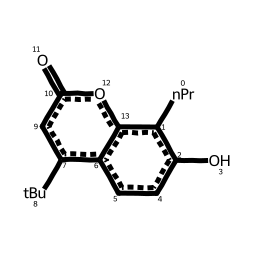 CCCc1c(O)ccc2c(C(C)(C)C)cc(=O)oc12